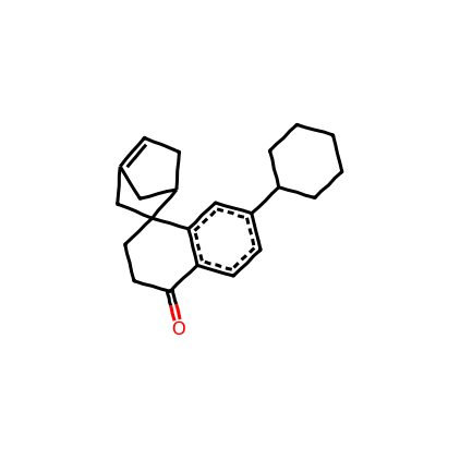 O=C1CCC2(CC3=CCC2C3)c2cc(C3CCCCC3)ccc21